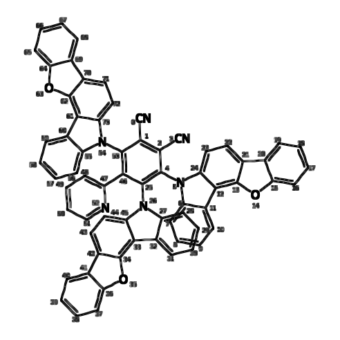 N#Cc1c(C#N)c(-n2c3ccccc3c3c4oc5ccccc5c4ccc32)c(-n2c3ccccc3c3c4oc5ccccc5c4ccc32)c(-c2ccccn2)c1-n1c2ccccc2c2c3oc4ccccc4c3ccc21